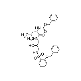 CC(C)C[C@H](NC(=O)OCc1ccccc1)C(=O)NCC(O)CNS(=O)(=O)c1ccccc1OCc1ccccc1